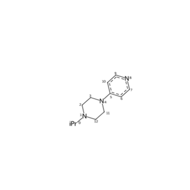 CC(C)N1CCN(c2ccncc2)CC1